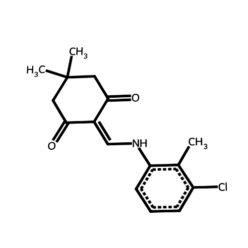 Cc1c(Cl)cccc1NC=C1C(=O)CC(C)(C)CC1=O